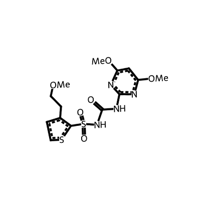 COCCc1ccsc1S(=O)(=O)NC(=O)Nc1nc(OC)cc(OC)n1